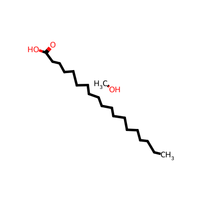 CCCCCCCCCCCCCCCCCCC(=O)O.CO